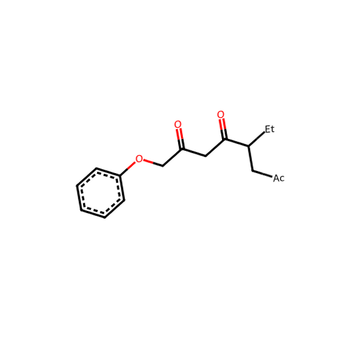 CCC(CC(C)=O)C(=O)CC(=O)COc1ccccc1